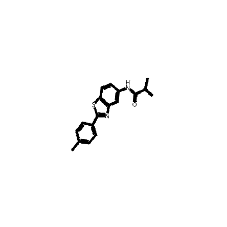 Cc1ccc(-c2nc3cc(NC(=O)C(C)C)ccc3s2)cc1